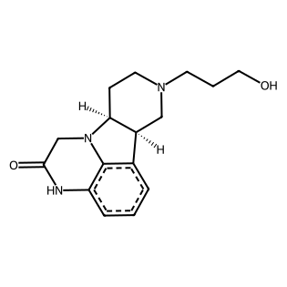 O=C1CN2c3c(cccc3[C@@H]3CN(CCCO)CC[C@@H]32)N1